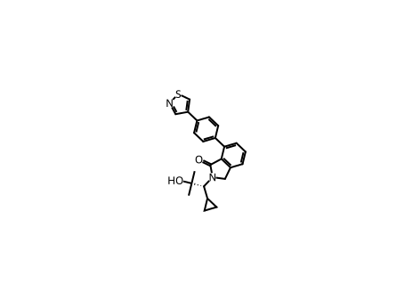 CC(C)(O)[C@@H](C1CC1)N1Cc2cccc(-c3ccc(-c4cnsc4)cc3)c2C1=O